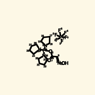 F[P-](F)(F)(F)(F)F.O=C(C=NO)O[P+](N1CCCC1)(N1CCCC1)N1CCCC1